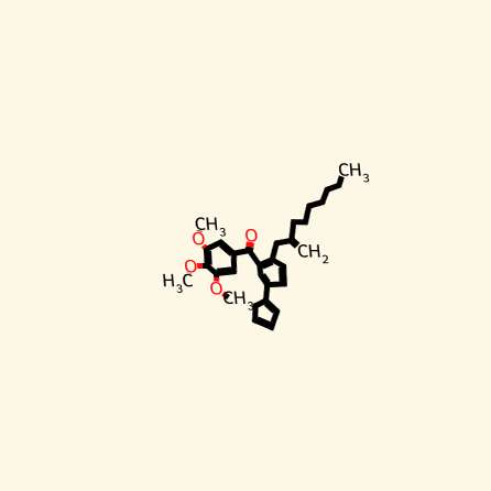 C=C(CCCCCCC)Cc1ccc(C2=CC=CC2)cc1C(=O)c1cc(OC)c(OC)c(OC)c1